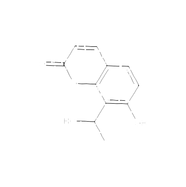 CC(O)c1c(O)ccc2ccc(=O)oc12